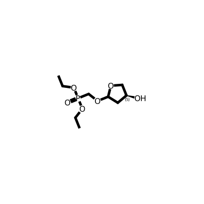 CCOP(=O)(CO[C]1C[C@H](O)CO1)OCC